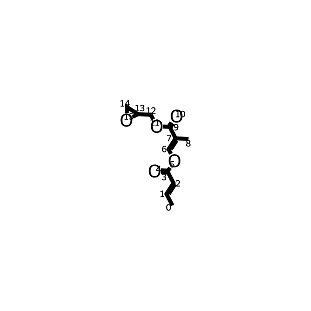 CC=CC(=O)OC=C(C)C(=O)OCC1CO1